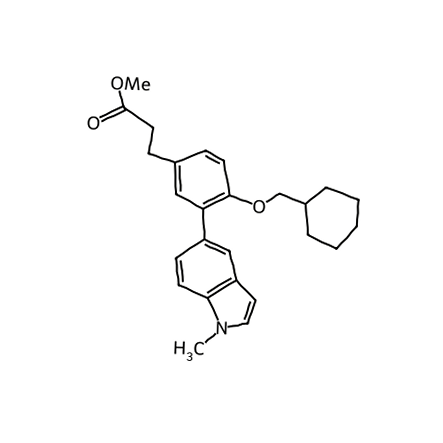 COC(=O)CCc1ccc(OCC2CCCCC2)c(-c2ccc3c(ccn3C)c2)c1